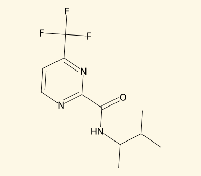 CC(C)C(C)NC(=O)c1nccc(C(F)(F)F)n1